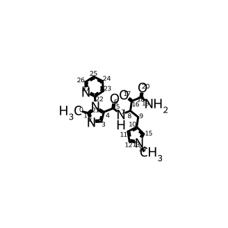 Cc1ncc(C(=O)NC(Cc2ccn(C)c2)C(=O)C(N)=O)n1-c1ccccn1